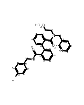 O=C(O)CCN(Cc1cccnc1)C(=O)c1ccccc1-c1ccccc1C(=O)NCc1ccc(F)cc1